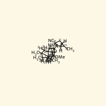 [2H]C1([2H])C2([2H])C([2H])(C)C3(C)C([2H])([2H])C1([C@H](NC)C(=O)N1[C@H](C#N)C[C@@H]4C(C)[C@@H]41)C([2H])([2H])C(OC)(C2([2H])C)C3([2H])C